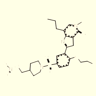 CCCOc1ccc(S(=O)(=O)N2CCC(CO[N+](=O)[O-])CC2)cc1C1=Nc2c(CCC)cn(C)c(=O)c2C1